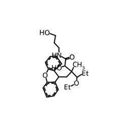 CCOC(CC)C(C)(CC1c2ccccc2Oc2ccccc21)C(O)C(=O)NCCCO